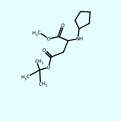 COC(=O)C(CC(=O)OC(C)(C)C)NC1CCCC1